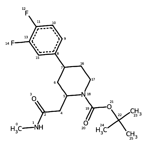 CNC(=O)CC1CC(c2ccc(F)c(F)c2)CCN1C(=O)OC(C)(C)C